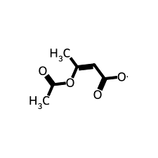 CC(=O)O/C(C)=C\C([O])=O